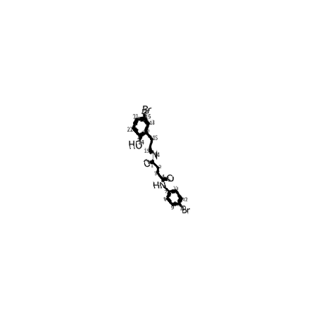 O=C(CCC(=O)Nc1ccc(Br)cc1)/N=C/Cc1cc(Br)ccc1O